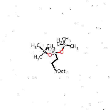 CCCCCCCCCC[Si](C)(O[Si](C)(C)C)O[Si](C)(C)C